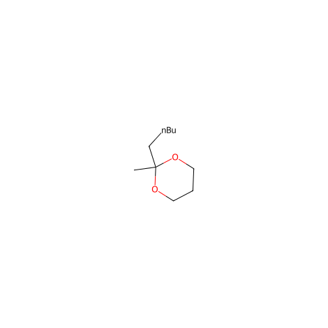 CCCCCC1(C)OCCCO1